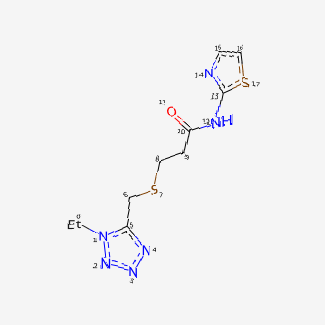 CCn1nnnc1CSCCC(=O)Nc1nccs1